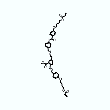 C=CC(=O)OCCCCOc1ccc(COOc2ccc(/C=N/N=C/c3ccc(OC(=O)c4ccc(OCCCCOC(=O)C=C)cc4)cc3)cc2C(=O)OC)cc1